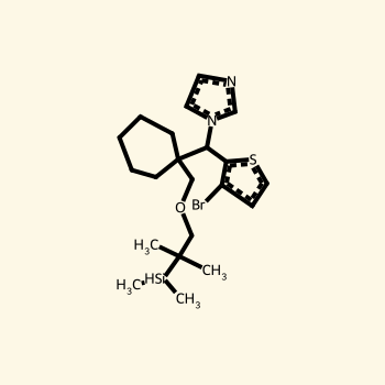 C[SiH](C)C(C)(C)COCC1(C(c2sccc2Br)n2ccnc2)CCCCC1